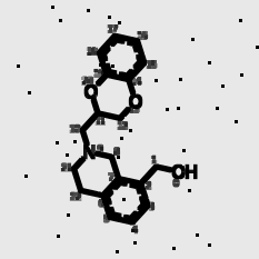 OCc1cccc2c1CN(CC1COc3ccccc3O1)CC2